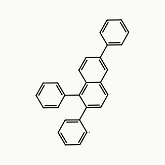 [c]1ccccc1-c1ccc2cc(-c3ccccc3)ccc2c1-c1ccccc1